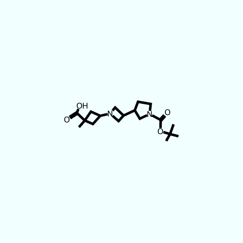 CC(C)(C)OC(=O)N1CCC(C2CN(C3CC(C)(C(=O)O)C3)C2)C1